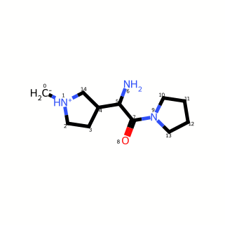 [CH2-][NH+]1CCC(C(N)C(=O)N2CCCC2)C1